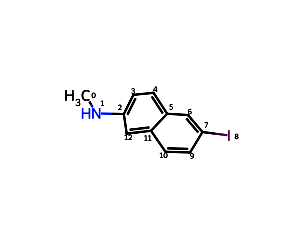 CNc1ccc2cc(I)ccc2c1